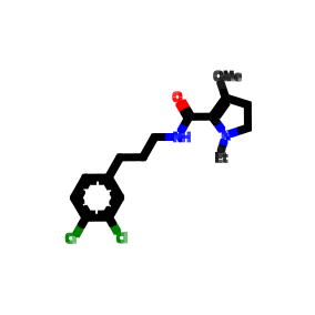 CCN1CCC(OC)=C1C(=O)NCCCc1ccc(Cl)c(Cl)c1